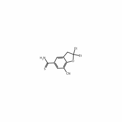 CCC1(CC)Cc2cc(C(N)=S)cc(C#N)c2O1